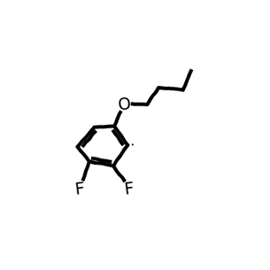 CCCCOc1[c]c(F)c(F)cc1